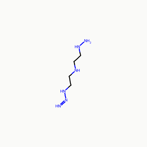 N=NNCCNCCNN